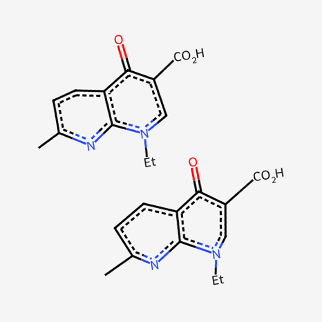 CCn1cc(C(=O)O)c(=O)c2ccc(C)nc21.CCn1cc(C(=O)O)c(=O)c2ccc(C)nc21